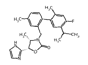 Cc1ccc(-c2cc(C(C)C)c(F)cc2C)c(CN2C(=O)O[C@H](c3ncc[nH]3)[C@@H]2C)c1